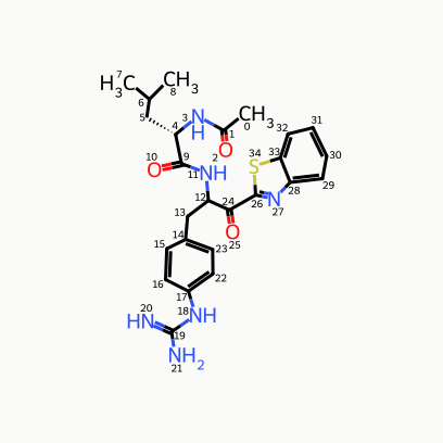 CC(=O)N[C@@H](CC(C)C)C(=O)NC(Cc1ccc(NC(=N)N)cc1)C(=O)c1nc2ccccc2s1